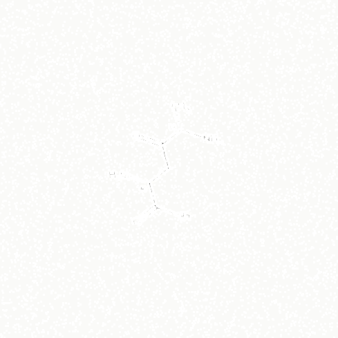 CC(C)C(=O)[C@H](C)CC(=O)[C@H](C)N